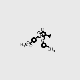 CCc1cccc(OCc2c(C3CC3)cc(Cl)c(=O)n2CCc2ccc(C(=O)OC)cc2)c1